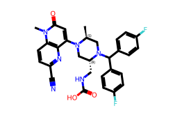 C[C@H]1CN(C(c2ccc(F)cc2)c2ccc(F)cc2)[C@H](CNC(=O)O)CN1c1cc(=O)n(C)c2ccc(C#N)nc12